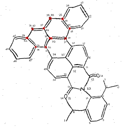 CC(C)c1cccc(C(C)C)c1N1C(=O)c2ccc(N3c4ccccc4Sc4ccccc43)c3c(N4c5ccccc5Sc5ccccc54)ccc(c23)C1=O